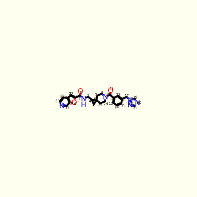 O=C(NCC1CC12CCN(C(=O)c1cccc(Cn3cncn3)c1)CC2)c1cc2ccncc2o1